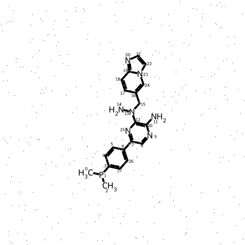 CP(C)c1ccc(-c2cnc(N)c(N(N)Cc3ccc4nccn4c3)n2)cc1